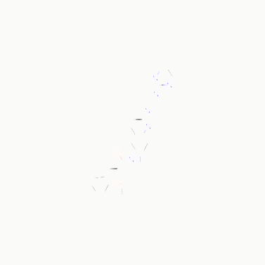 CCOc1ccccc1/C=C/C(=O)Nc1ccc2nc(N3CCN(c4ncccn4)CC3)cc(C)c2c1